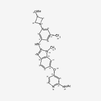 COC1CN(c2cc(Nc3nc4ccc(Oc5ccnc(NC(C)=O)c5)cc4n3C)cc(C(F)(F)F)c2)C1